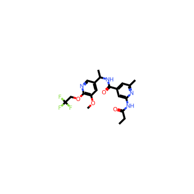 CCC(=O)Nc1cc(C(=O)NC(C)c2cnc(OCC(F)(F)F)c(OC)c2)cc(C)n1